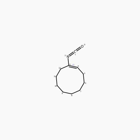 O=C=N/C1=C/CCCCCCCC1